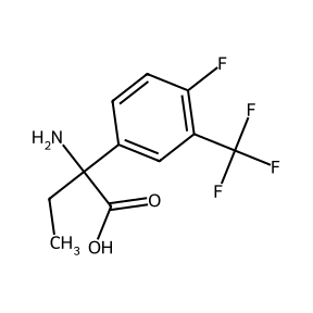 CCC(N)(C(=O)O)c1ccc(F)c(C(F)(F)F)c1